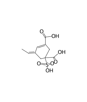 CC=C1C=C(C(=O)O)CC(C(=O)O)(S(=O)(=O)O)C1